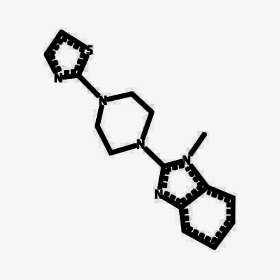 Cn1c(N2CCN(c3nccs3)CC2)nc2ccccc21